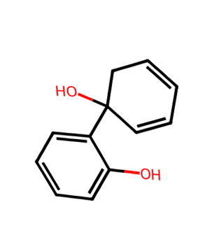 Oc1ccccc1C1(O)C=CC=CC1